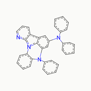 c1ccc(N(c2ccccc2)c2cc3c4c(c2)c2cccnc2n4-c2ccccc2N3c2ccccc2)cc1